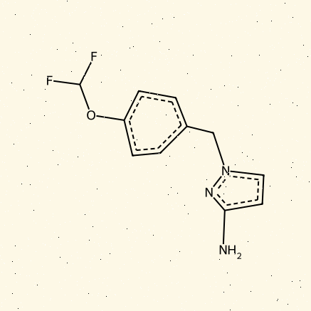 Nc1ccn(Cc2ccc(OC(F)F)cc2)n1